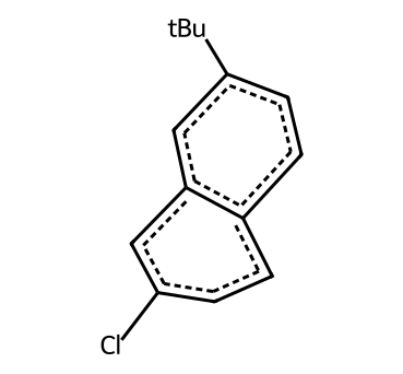 CC(C)(C)c1ccc2ccc(Cl)cc2c1